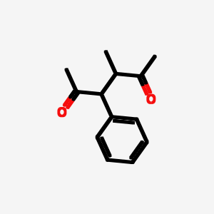 CC(=O)C(C)C(C(C)=O)c1ccccc1